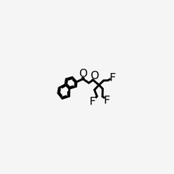 O=C(CC(=O)C(CCF)(CCF)CCF)c1ccc2ccccc2c1